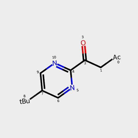 CC(=O)CC(=O)c1ncc(C(C)(C)C)cn1